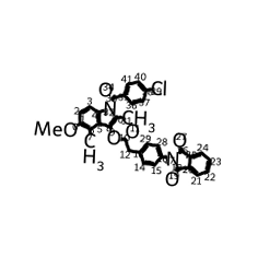 COc1ccc2c(c1C)c(OC(=O)Cc1ccc(N3C(=O)c4ccccc4C3=O)cc1)c(C)n2C(=O)c1ccc(Cl)cc1